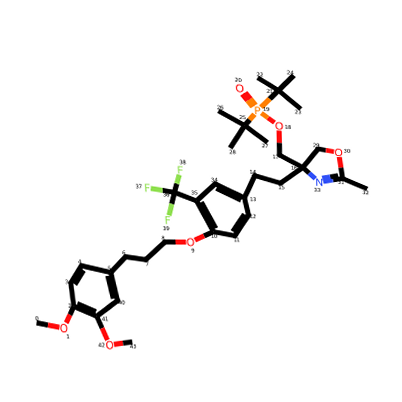 COc1ccc(CCCOc2ccc(CCC3(COP(=O)(C(C)(C)C)C(C)(C)C)COC(C)=N3)cc2C(F)(F)F)cc1OC